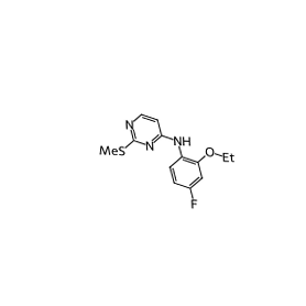 CCOc1cc(F)ccc1Nc1ccnc(SC)n1